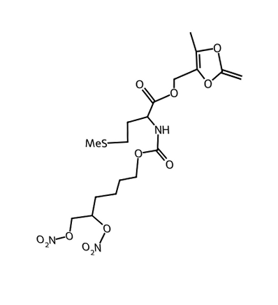 C=C1OC(C)=C(COC(=O)C(CCSC)NC(=O)OCCCCC(CO[N+](=O)[O-])O[N+](=O)[O-])O1